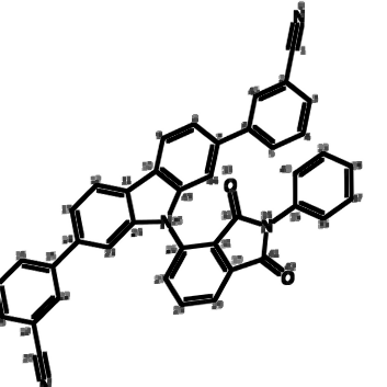 N#Cc1cccc(-c2ccc3c4ccc(-c5cccc(C#N)c5)cc4n(-c4cccc5c4C(=O)N(c4ccccc4)C5=O)c3c2)c1